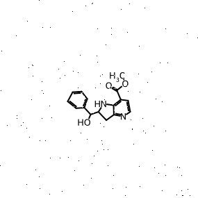 COC(=O)c1ccnc2c1NC(C(O)c1ccccc1)C2